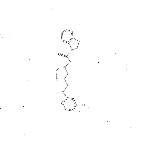 O=C(CN1CCOC(COc2cccc(Cl)c2)C1)N1CCc2ccccc21